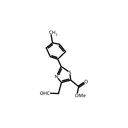 COC(=O)c1sc(-c2ccc(C)cc2)nc1CC=O